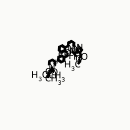 CCOC(=O)c1cnn(-c2cccc(-c3cccc(Cl)c3OCc3ccc([C@@H]4CCCN(C(=O)OC(C)(C)C)C4)cc3)n2)c1C(F)(F)F